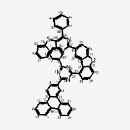 c1ccc(-c2nc(-c3ccc4c5ccccc5c5ccccc5c4c3)nc(-c3cccc4oc5ccc(-c6nc(-c7ccccc7)c7sc8ccccc8c7n6)cc5c34)n2)cc1